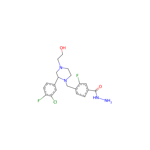 NNC(=O)c1ccc(CN2CCN(CCO)CC2c2ccc(F)c(Cl)c2)c(F)c1